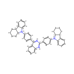 c1ccc2c(c1)C1CCCCC1N2c1ccc(-c2nc(-c3ccc(N4c5ccccc5C5CCCCC54)cc3)c3ccccc3n2)cc1